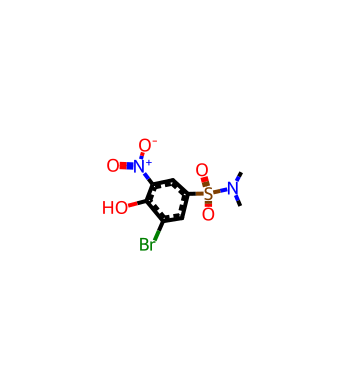 CN(C)S(=O)(=O)c1cc(Br)c(O)c([N+](=O)[O-])c1